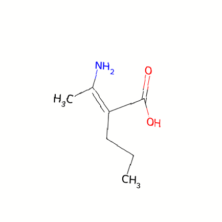 CCC/C(C(=O)O)=C(\C)N